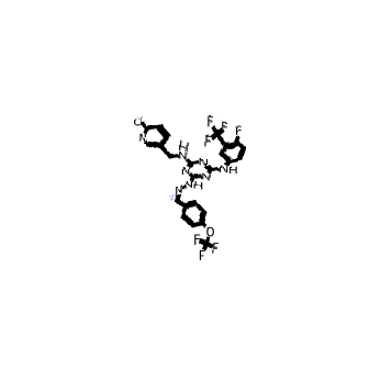 Fc1ccc(Nc2nc(NCc3ccc(Cl)nc3)nc(N/N=C\c3ccc(OC(F)(F)F)cc3)n2)cc1C(F)(F)F